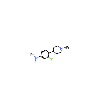 CC(C)Nc1ccc(C2CCN(C(C)C)CC2)c(F)c1